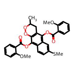 COc1ccccc1C(=O)Oc1c2c(c(OC(=O)c3ccccc3OC)c3ccc(SC)cc13)OOC(C)C2